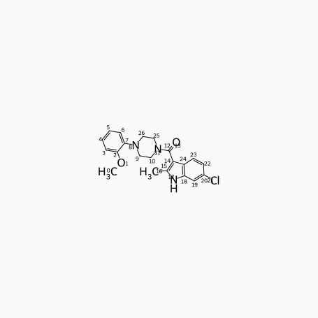 COc1ccccc1N1CCN(C(=O)c2c(C)[nH]c3cc(Cl)ccc23)CC1